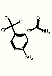 NC(=O)Cl.Nc1ccc(C(Cl)(Cl)Cl)cc1